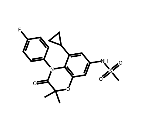 CC1(C)Oc2cc(NS(C)(=O)=O)cc(C3CC3)c2N(c2ccc(F)cc2)C1=O